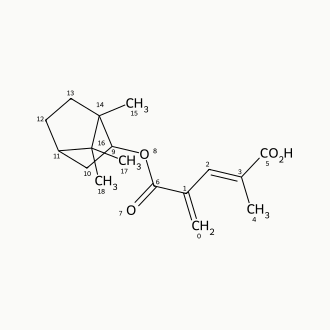 C=C(C=C(C)C(=O)O)C(=O)OC1CC2CCC1(C)C2(C)C